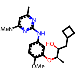 CNc1cc(C)nc(Nc2ccc(OC)c(O[C@H](C)[C@@H](O)CC3CCC3)c2)n1